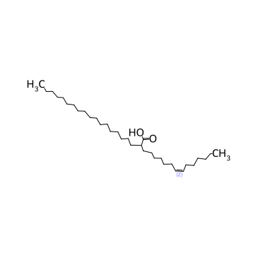 CCCCCC/C=C\CCCCCCC(CCCCCCCCCCCCCCCCCC)C(=O)O